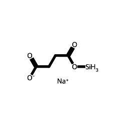 O=C([O-])CCC(=O)O[SiH3].[Na+]